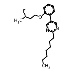 CCCCCCCc1ncc(-c2ccccc2OCCC(C)F)cn1